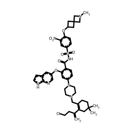 C=C(CCCl)C1=C(CN2CCN(c3ccc(C(=O)NS(=O)(=O)c4ccc(OC5CC6(C5)CN(C)C6)c([N+](=O)[O-])c4)c(Oc4cnc5[nH]ccc5c4)c3)CC2)CCC(C)(C)C1